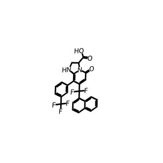 O=C(O)C1CNc2c(-c3cccc(C(F)(F)F)c3)c(C(F)(F)c3cccc4ccccc34)cc(=O)n21